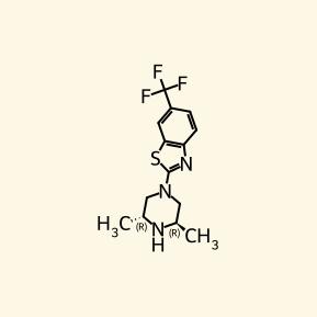 C[C@@H]1CN(c2nc3ccc(C(F)(F)F)cc3s2)C[C@@H](C)N1